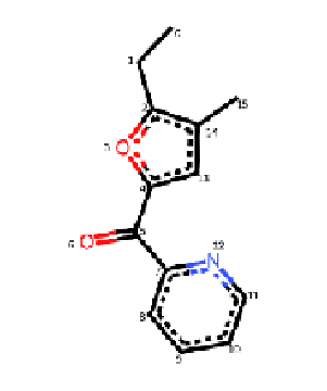 CCc1oc(C(=O)c2ccccn2)cc1C